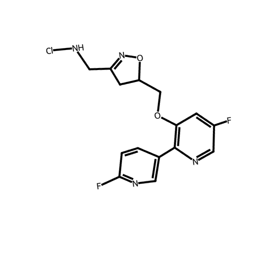 Fc1cnc(-c2ccc(F)nc2)c(OCC2CC(CNCl)=NO2)c1